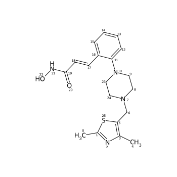 Cc1nc(C)c(CN2CCN(c3ccccc3/C=C/C(=O)NO)CC2)s1